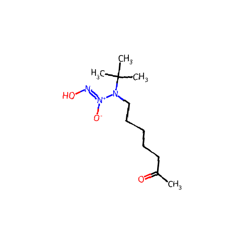 CC(=O)CCCCCN([N+]([O-])=NO)C(C)(C)C